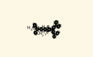 Cc1ccccc1-c1cc(-c2ccc(-c3ccc(-c4c(C)cc(-n5c6ccc(N(c7ccccc7)c7ccccc7)cc6c6cc(N(c7ccccc7)c7ccccc7)ccc65)cc4C)cc3)cc2)nc(-c2ccccc2C)n1